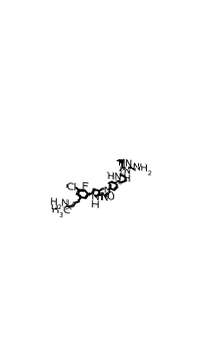 C[C@H](N)CCCc1cc(Cl)c(F)c(-c2cc3cn(-c4ccc([C@@H]5CCC[C@@H](C[C@H](NC(=N)CN)C6CC6)N5)cc4)c(=O)nc3[nH]2)c1